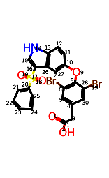 O=C(O)Cc1cc(Br)c(Oc2ccc3[nH]cc(S(=O)(=O)c4ccccc4)c3c2)c(Br)c1